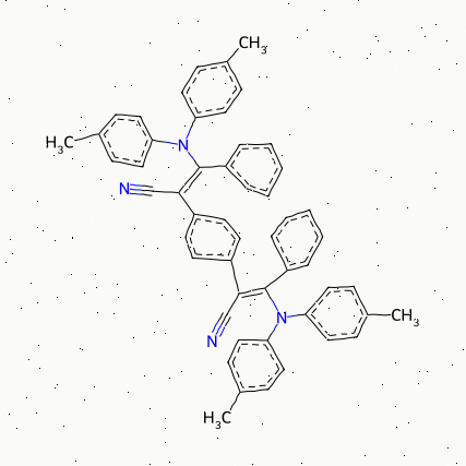 Cc1ccc(N(C(=C(C#N)c2ccc(C(C#N)=C(c3ccccc3)N(c3ccc(C)cc3)c3ccc(C)cc3)cc2)c2ccccc2)c2ccc(C)cc2)cc1